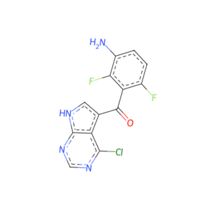 Nc1ccc(F)c(C(=O)c2c[nH]c3ncnc(Cl)c23)c1F